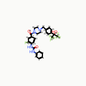 O=C(Nc1ccccc1)Nc1ccc(C(=O)N2CCN(Cc3ccc(C(O)(C(F)(F)F)C(F)(F)F)cc3)CC2)cc1F